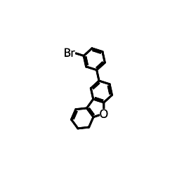 Brc1cccc(-c2ccc3oc4c(c3c2)C=CCC4)c1